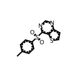 Cc1ccc(S(=O)(=O)c2ncnc3ccsc23)cc1